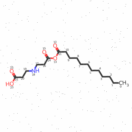 CCCCCCCCCCCC(=O)OC(=O)CCNCCC(=O)O